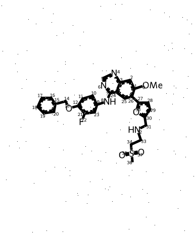 COc1cc2ncnc(Nc3ccc(OCc4ccccc4)c(F)c3)c2cc1-c1ccc(CNCCS(C)(=O)=O)o1